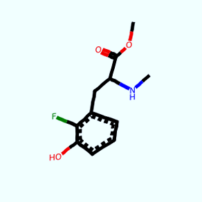 CNC(Cc1cccc(O)c1F)C(=O)OC